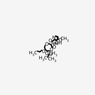 CCCCO[C@H]1CCOC[C@H](NC(=O)c2nccc(OC)c2O)C(=O)O[C@@H](C)[C@@H]1OC(=O)C(C)C